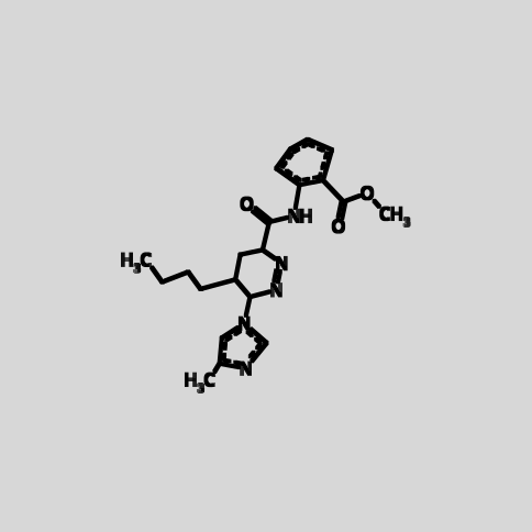 CCCCC1CC(C(=O)Nc2ccccc2C(=O)OC)N=NC1n1cnc(C)c1